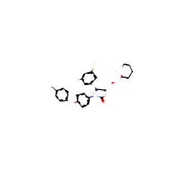 O=C1O[C@@H](COC2CCCCO2)[C@H](c2cc(F)cc(F)c2)N1c1ccc(Oc2ccc(Cl)cc2)cc1